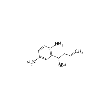 C=CCC(CCCC)c1cc(N)ccc1N